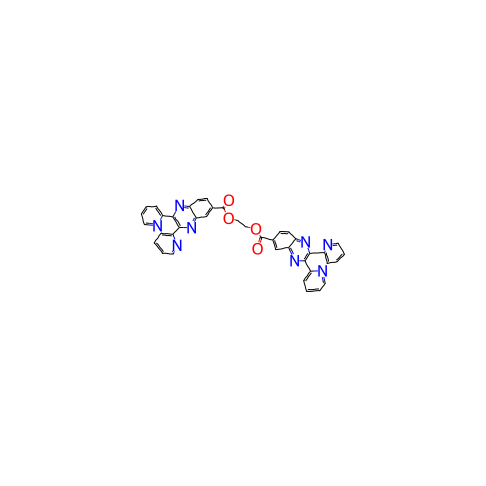 O=C(OCCOC(=O)c1ccc2nc(-c3ccccn3)c(-c3ccccn3)nc2c1)c1ccc2nc(-c3ccccn3)c(-c3ccccn3)nc2c1